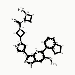 COc1cc2[nH]nc(-c3cnn(C4CN(C(=O)[C@H]5CCN5C)C4)c3)c2nc1-c1cccc2c1CCC2